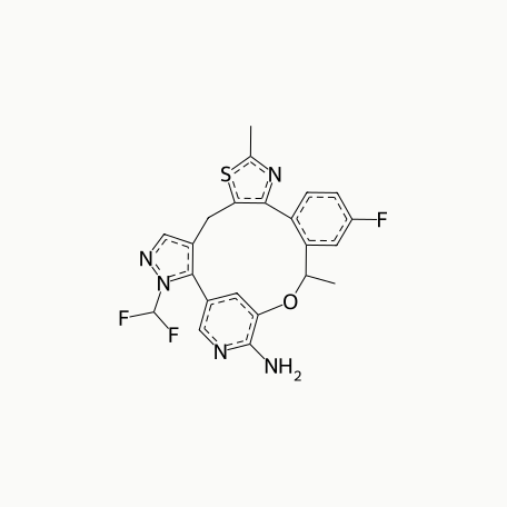 Cc1nc2c(s1)Cc1cnn(C(F)F)c1-c1cnc(N)c(c1)OC(C)c1cc(F)ccc1-2